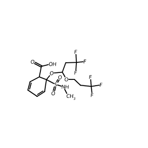 CNS(=O)(=O)C1(OC(CC(F)(F)F)OCCC(F)(F)F)C=CC=CC1C(=O)O